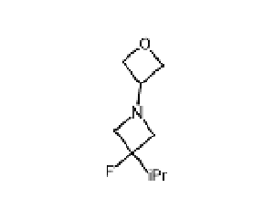 CC(C)C1(F)CN(C2COC2)C1